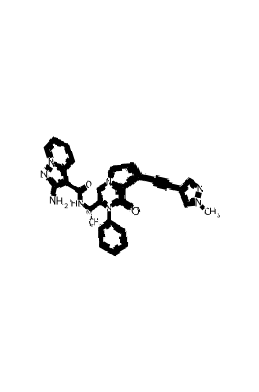 C[C@H](NC(=O)c1c(N)nn2ccccc12)c1cn2ccc(C#Cc3cnn(C)c3)c2c(=O)n1-c1ccccc1